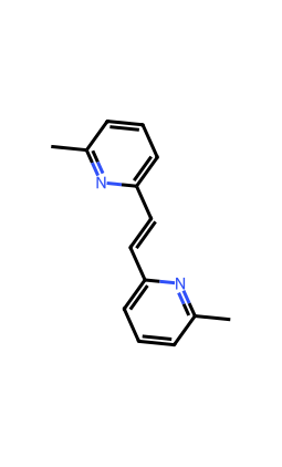 Cc1cccc(C=Cc2cccc(C)n2)n1